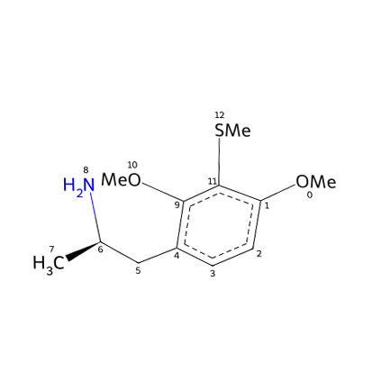 COc1ccc(C[C@@H](C)N)c(OC)c1SC